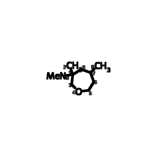 CNC1(C)COCCC(C)C1